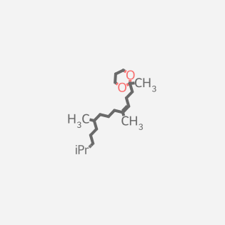 CC(=CCCC1(C)OCCCO1)CCCC(C)CCCC(C)C